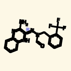 Nc1nc2ccccc2[nH]/c1=N\N(C=O)Cc1ccccc1C(F)(F)F